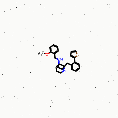 COc1ccccc1CNC1C2CCN(CC2)C1Cc1ccccc1-c1cccs1